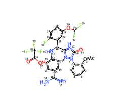 COc1ccccc1-n1nc(C(Nc2ccc(C(=N)N)cc2)c2cc(OC(F)F)ccc2F)[nH]c1=O.O=C(O)C(F)(F)F